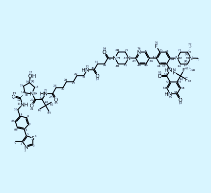 Cc1ncsc1-c1ccc(CNC(=O)[C@@H]2C[C@@H](O)CN2C(=O)C(NC(=O)CCCCCCNC(=O)CCC(=O)N2CCN(c3ccc(-c4cc(NC(=O)c5c[nH]c(=O)cc5C(F)(F)F)c(N5C[C@@H](C)N(C)[C@@H](C)C5)cc4F)cn3)CC2)C(C)(C)C)cc1